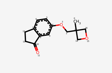 CC1(COc2ccc3c(c2)C(=O)CC3)COC1